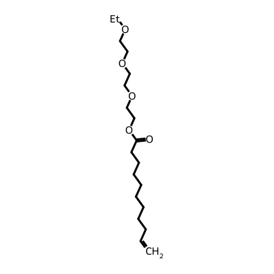 C=CCCCCCCCCC(=O)OCCOCCOCCOCC